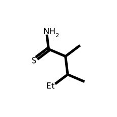 CCC(C)C(C)C(N)=S